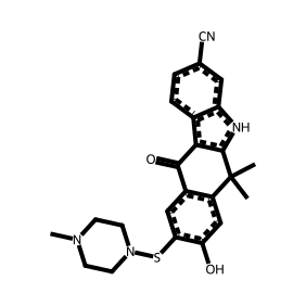 CN1CCN(Sc2cc3c(cc2O)C(C)(C)c2[nH]c4cc(C#N)ccc4c2C3=O)CC1